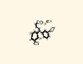 CCOC(=O)/C=C\C=C(c1cccc(Cl)c1)c1cccc(Cl)c1